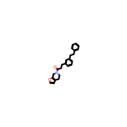 O=C(CCc1cccc(CCc2ccccc2)c1)N1CCc2ccoc2C1